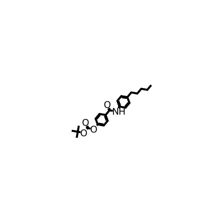 CCCCCc1ccc(NC(=O)c2ccc(OC(=O)OC(C)(C)C)cc2)cc1